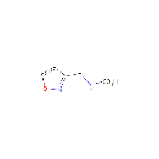 O=C(O)NCc1ccon1